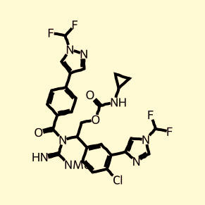 CNC(=N)N(C(=O)c1ccc(-c2cnn(C(F)F)c2)cc1)C(COC(=O)NC1CC1)c1ccc(Cl)c(-c2cn(C(F)F)cn2)c1